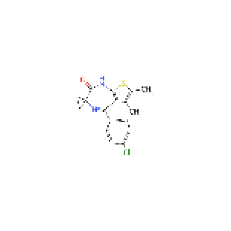 Cc1sc2c(c1C)C(c1ccc(Cl)cc1)=NC1(CC1)C(=O)N2